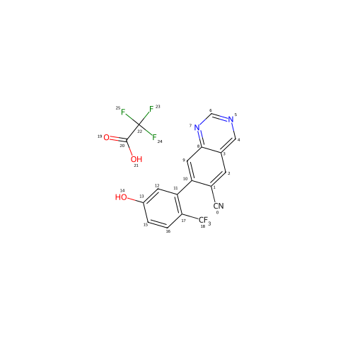 N#Cc1cc2cncnc2cc1-c1cc(O)ccc1C(F)(F)F.O=C(O)C(F)(F)F